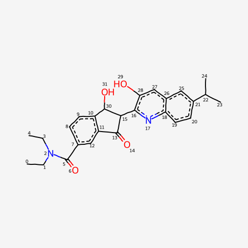 CCN(CC)C(=O)c1ccc2c(c1)C(=O)C(c1nc3ccc(C(C)C)cc3cc1O)C2O